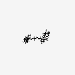 O=C1CCC(N2Cc3c(CCCCCCNC45CC6CC(CC(C6)C4)C5)cccc3C2=O)C(=O)N1